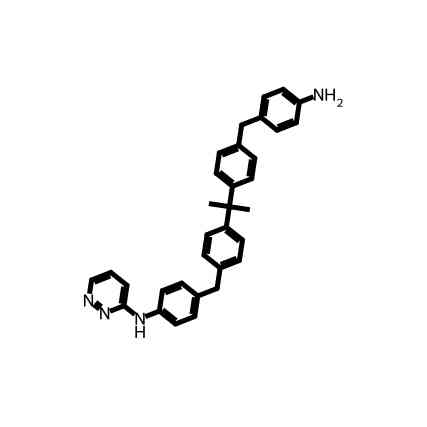 CC(C)(c1ccc(Cc2ccc(N)cc2)cc1)c1ccc(Cc2ccc(Nc3cccnn3)cc2)cc1